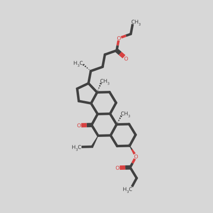 CCOC(=O)CC[C@@H](C)C1CCC2C3C(=O)[C@H](CC)C4C[C@H](OC(=O)CC)CC[C@]4(C)C3CC[C@@]21C